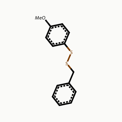 COc1ccc(SSCc2ccccc2)cc1